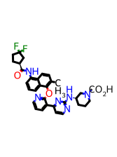 Cc1ccc2c(NC(=O)[C@H]3CCC(F)(F)C3)cccc2c1Oc1ncccc1-c1ccnc(N[C@H]2CCCN(C(=O)O)C2)n1